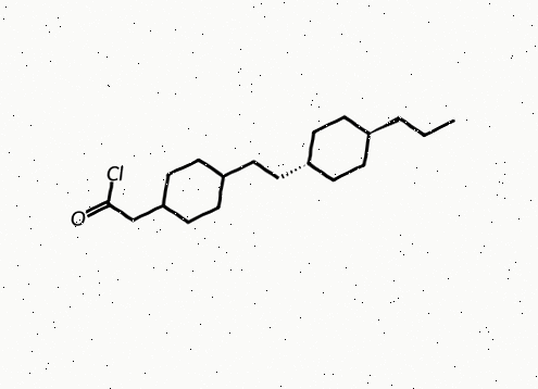 CCC[C@H]1CC[C@H](CCC2CCC(CC(=O)Cl)CC2)CC1